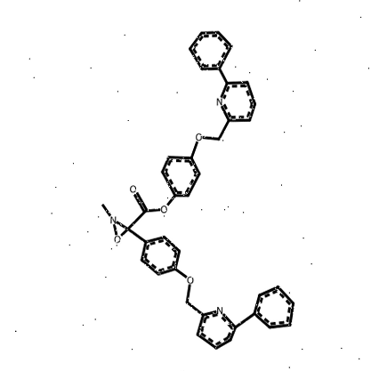 CN1OC1(C(=O)Oc1ccc(OCc2cccc(-c3ccccc3)n2)cc1)c1ccc(OCc2cccc(-c3ccccc3)n2)cc1